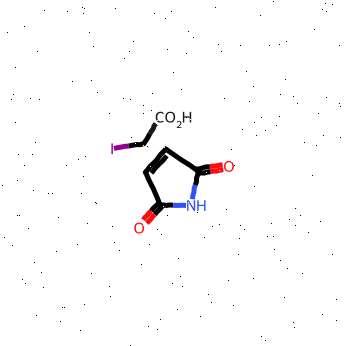 O=C(O)CI.O=C1C=CC(=O)N1